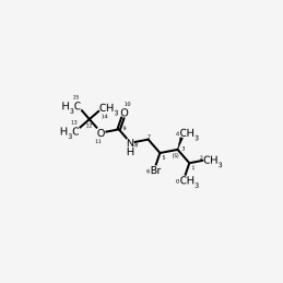 CC(C)[C@H](C)C(Br)CNC(=O)OC(C)(C)C